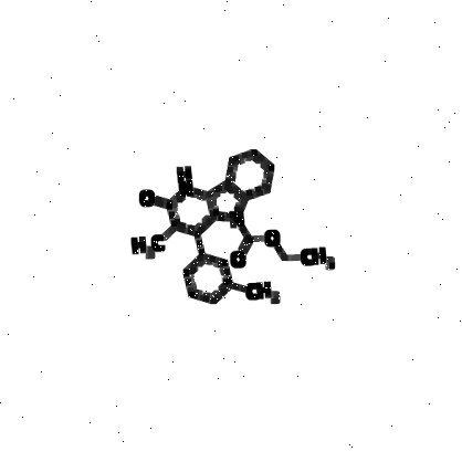 CCOC(=O)n1c2ccccc2c2[nH]c(=O)c(C)c(-c3cccc(C)c3)c21